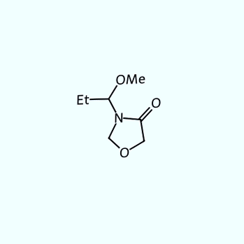 CCC(OC)N1COCC1=O